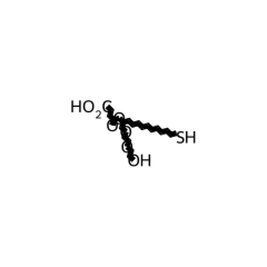 O=C(O)CCC(=O)OC(CCCCCCCCCCCS)COCCOCCO